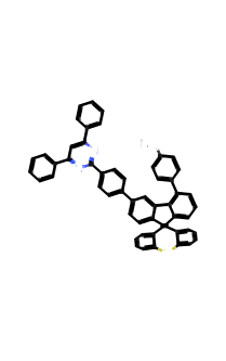 N#Cc1ccc(-c2cccc3c2-c2cc(-c4ccc(-c5nc(-c6ccccc6)cc(-c6ccccc6)n5)cc4)ccc2C32c3ccccc3Sc3ccccc32)cc1